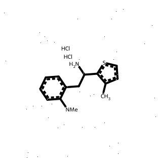 CNc1ccccc1CC(N)c1sccc1C.Cl.Cl